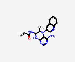 C=CC(=O)NC1Nc2ncnc(N)c2N(c2cnc3ccccc3c2)C1=C